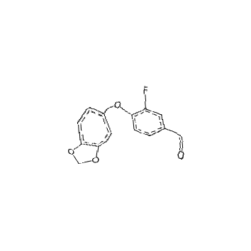 O=Cc1ccc(Oc2ccc3c(c2)OCO3)c(F)c1